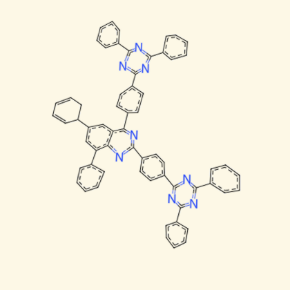 C1=CCC(c2cc(-c3ccccc3)c3nc(-c4ccc(-c5nc(-c6ccccc6)nc(-c6ccccc6)n5)cc4)nc(-c4ccc(-c5nc(-c6ccccc6)nc(-c6ccccc6)n5)cc4)c3c2)C=C1